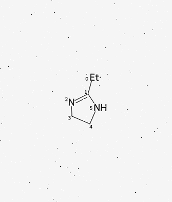 C[CH]C1=NCCN1